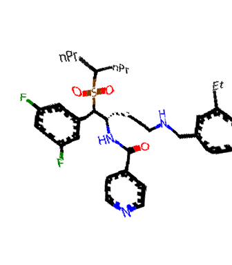 CCCC(CCC)S(=O)(=O)C(c1cc(F)cc(F)c1)[C@H]([CH]CNCc1cccc(CC)c1)NC(=O)c1ccncc1